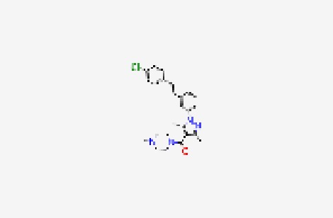 Cc1nn(-c2cccc(C=Cc3ccc(Cl)cc3)c2)c(C)c1C(=O)N1CCN(C)CC1